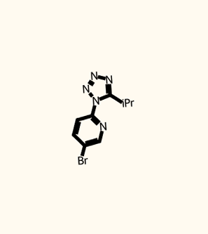 CC(C)c1nnnn1-c1ccc(Br)cn1